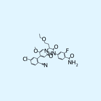 CCOCCC(C(=O)Nc1ccc(C(N)=O)c(F)c1)n1cc(OC)c(-c2cc(Cl)ccc2C#N)cc1=O